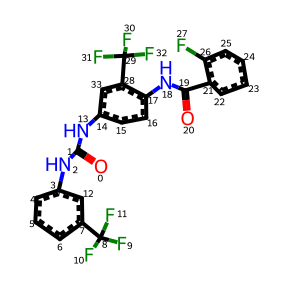 O=C(Nc1cccc(C(F)(F)F)c1)Nc1ccc(NC(=O)c2ccccc2F)c(C(F)(F)F)c1